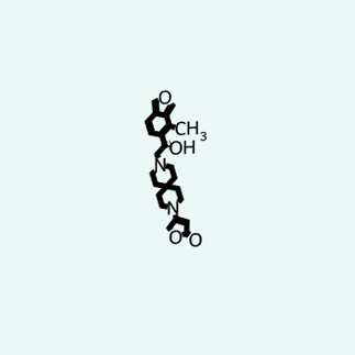 Cc1c([C@H](O)CN2CCC3(CC2)CCN(C2=CC(=O)OC2)CC3)ccc2cocc12